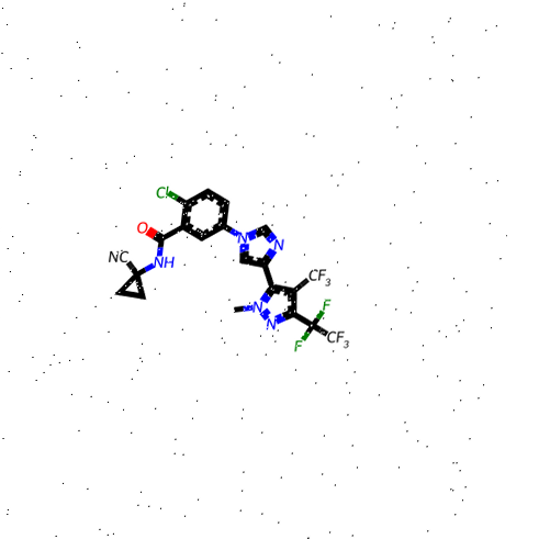 Cn1nc(C(F)(F)C(F)(F)F)c(C(F)(F)F)c1-c1cn(-c2ccc(Cl)c(C(=O)NC3(C#N)CC3)c2)cn1